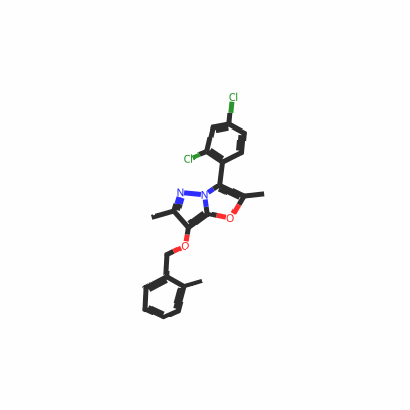 Cc1ccccc1COc1c(C)nn2c(-c3ccc(Cl)cc3Cl)c(C)oc12